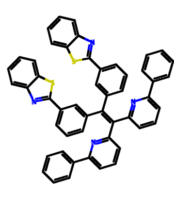 c1ccc(-c2cccc(C(=C(c3cccc(-c4nc5ccccc5s4)c3)c3cccc(-c4nc5ccccc5s4)c3)c3cccc(-c4ccccc4)n3)n2)cc1